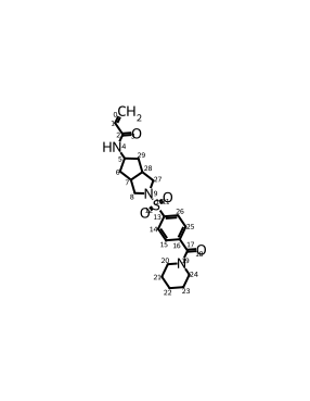 C=CC(=O)NC1CC2CN(S(=O)(=O)c3ccc(C(=O)N4CCCCC4)cc3)CC2C1